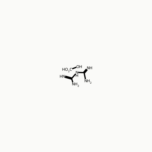 N=C(N)NC(=N)N.O=C(O)O